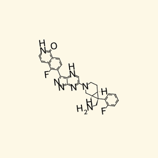 NC[C@]1(c2ccccc2F)[C@@H]2CCN(c3c[nH]c4c(-c5ccc6c(=O)[nH]ccc6c5F)nnc-4n3)C[C@@H]21